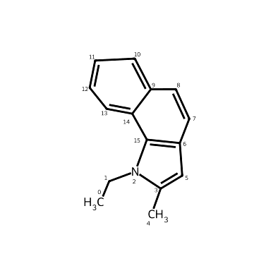 CCn1c(C)cc2ccc3ccccc3c21